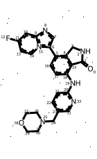 O=C1NCc2c(-c3cnc4cc(F)ccn34)ccc(Nc3ccc(CN4CCOCC4)cn3)c21